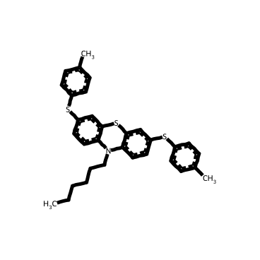 CCCCCCN1c2ccc(Sc3ccc(C)cc3)cc2Sc2cc(Sc3ccc(C)cc3)ccc21